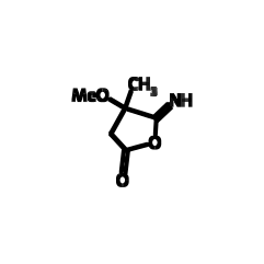 COC1(C)CC(=O)OC1=N